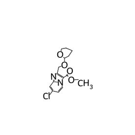 CCOC(=O)c1c(COC2CCCCO2)nc2cc(Cl)ccn12